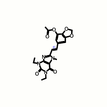 CCn1c(=O)c2c(nc(/C=C/c3cc4c(c(OC(C)=O)c3)OCO4)n2C)n(CC)c1=O